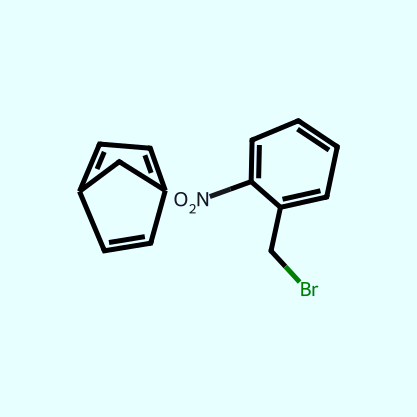 C1=CC2=CC=C1C2.O=[N+]([O-])c1ccccc1CBr